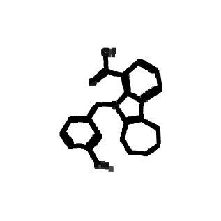 Cc1cccc(Cn2c3c(c4cccc(C(=O)O)c42)CCCCC3)c1